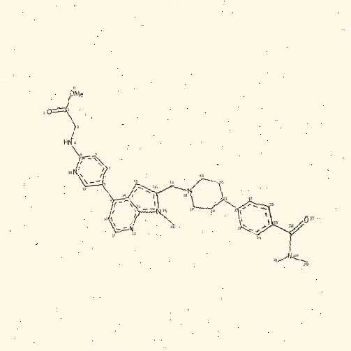 COC(=O)CNc1ccc(-c2ccnc3c2cc(CN2CCC(c4ccc(C(=O)N(C)C)cc4)CC2)n3C)cn1